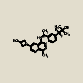 Cc1nnc(N[C@H](C)c2cccc(C(F)(F)C(C)(C)O)c2)c2cc(N3CC(O)C3)cnc12